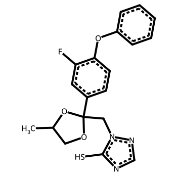 CC1COC(Cn2ncnc2S)(c2ccc(Oc3ccccc3)c(F)c2)O1